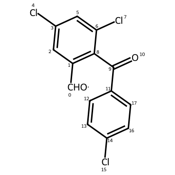 O=[C]c1cc(Cl)cc(Cl)c1C(=O)c1ccc(Cl)cc1